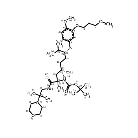 COCCCOc1cc(C[C@H](CC[C@H](O)C[C@@](C)(NC(=O)OC(C)(C)C)C(=O)NCC(C)(C)N2CCOCC2)C(C)C)ccc1OC